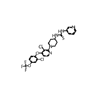 FC(F)(F)Oc1ccc(Oc2ccnc(N3CCC(NC(=S)Nc4cccnc4)CC3)c2Cl)c(Cl)c1